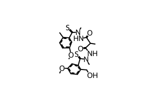 COc1ccc(C)c(C(=S)N(C)NC(=O)C(C)C(=O)NN(C)C(=S)c2cc(OC)ccc2CO)c1